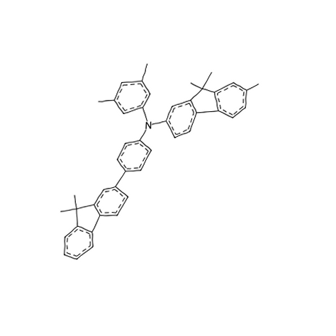 Cc1cc(C)cc(N(c2ccc(-c3ccc4c(c3)C(C)(C)c3ccccc3-4)cc2)c2ccc3c(c2)C(C)(C)c2cc(C)ccc2-3)c1